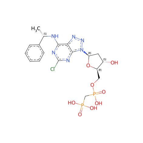 C[C@H](Nc1nc(Cl)nc2c1nnn2[C@H]1C[C@H](O)[C@@H](COP(=O)(O)CP(=O)(O)O)O1)c1ccccc1